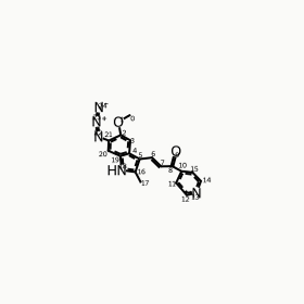 COc1cc2c(/C=C/C(=O)c3ccncc3)c(C)[nH]c2cc1N=[N+]=[N-]